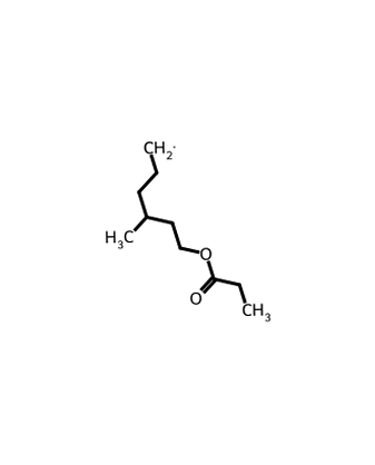 [CH2]CCC(C)CCOC(=O)CC